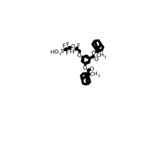 CC1(OC(=O)c2cc(OCC(F)(F)OC(F)(F)C(F)(F)S(=O)(=O)O)cc(OC(=O)C3(C)C4CC5CC(C4)CC3C5)c2)C2CC3CC(C2)CC1C3